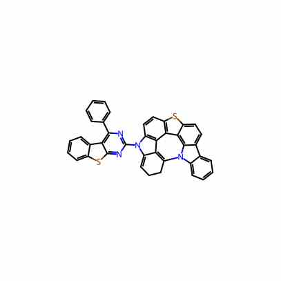 C1=c2c3c(n4c5ccccc5c5ccc6sc7ccc(c3c7c6c54)n2-c2nc(-c3ccccc3)c3c(n2)sc2ccccc23)CC1